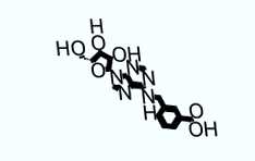 O=C(O)c1cccc(CNc2ncnc3c2ncn3[C@@H]2O[C@H](CO)[C@@H](O)[C@H]2O)c1